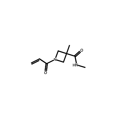 C=CC(=O)N1CC(C)(C(=O)NC)C1